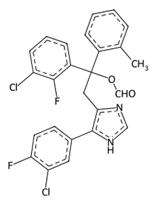 Cc1ccccc1C(Cc1nc[nH]c1-c1ccc(F)c(Cl)c1)(OC=O)c1cccc(Cl)c1F